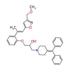 COCc1cc(/C=C(\C)c2ccccc2OCC(O)CN2CCC(=C(c3ccccc3)c3ccccc3)CC2)on1